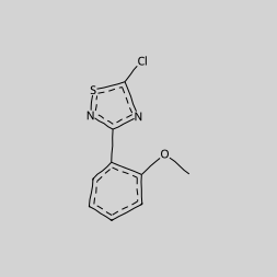 COc1ccccc1-c1nsc(Cl)n1